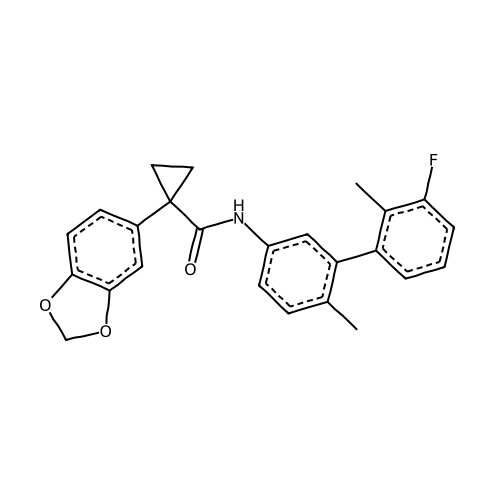 Cc1ccc(NC(=O)C2(c3ccc4c(c3)OCO4)CC2)cc1-c1cccc(F)c1C